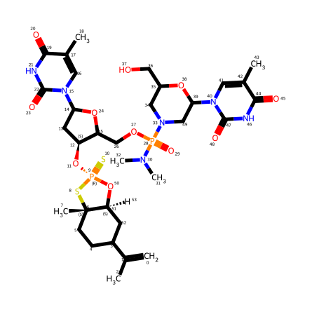 C=C(C)C1CC[C@]2(C)S[P@](=S)(O[C@H]3CC(n4cc(C)c(=O)[nH]c4=O)OC3COP(=O)(N(C)C)N3CC(CO)OC(n4cc(C)c(=O)[nH]c4=O)C3)O[C@H]2C1